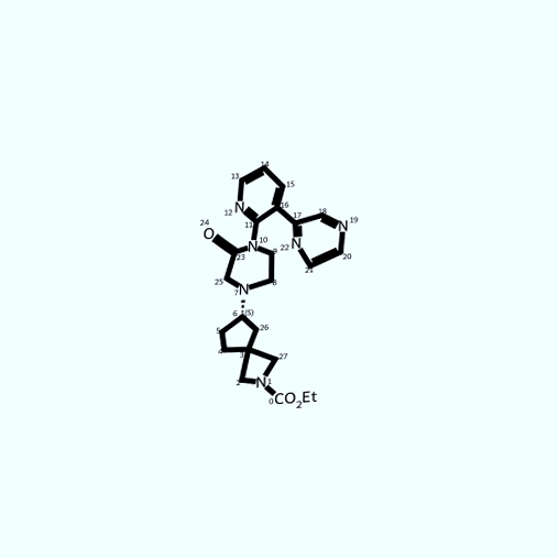 CCOC(=O)N1CC2(CC[C@H](N3CCN(c4ncccc4-c4cnccn4)C(=O)C3)C2)C1